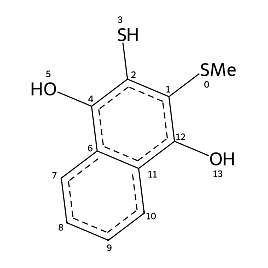 CSc1c(S)c(O)c2ccccc2c1O